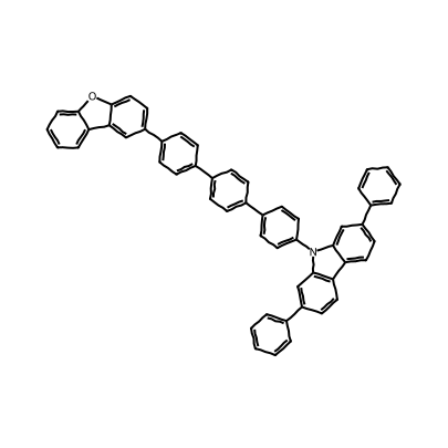 c1ccc(-c2ccc3c4ccc(-c5ccccc5)cc4n(-c4ccc(-c5ccc(-c6ccc(-c7ccc8oc9ccccc9c8c7)cc6)cc5)cc4)c3c2)cc1